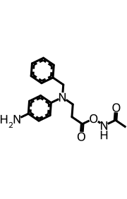 CC(=O)NOC(=O)CCN(Cc1ccccc1)c1ccc(N)cc1